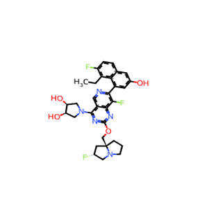 CCc1c(F)ccc2cc(O)cc(-c3ncc4c(N5C[C@@H](O)[C@@H](O)C5)nc(OC[C@@]56CCCN5C[C@H](F)C6)nc4c3F)c12